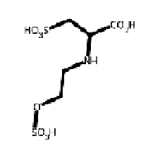 O=C(O)C(CS(=O)(=O)O)NCCOS(=O)(=O)O